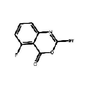 CC(C)c1nc2cccc(F)c2c(=O)o1